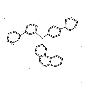 c1ccc(-c2ccc(N(c3cccc(-c4cccnc4)c3)c3ccc4ccc5ccccc5c4c3)cc2)cc1